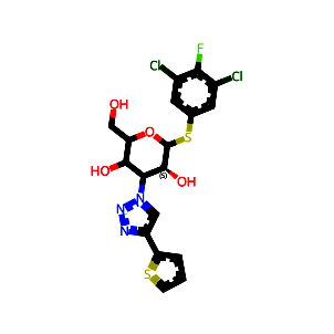 OCC1OC(Sc2cc(Cl)c(F)c(Cl)c2)[C@@H](O)C(n2cc(-c3cccs3)nn2)C1O